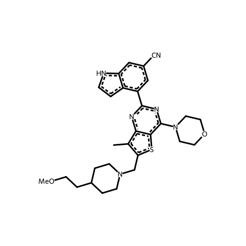 COCCC1CCN(Cc2sc3c(N4CCOCC4)nc(-c4cc(C#N)cc5[nH]ccc45)nc3c2C)CC1